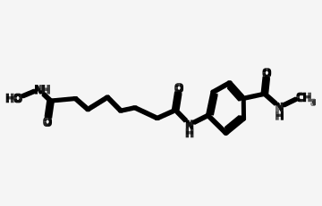 CNC(=O)c1ccc(NC(=O)CCCCCCC(=O)NO)cc1